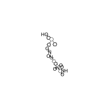 O=C1CCC(N2C(=O)c3cc4c(cc3C2=O)CC2(C4)CN(C(=O)CN3CC(Oc4ccc(C5c6ccc(O)cc6CCC5c5ccccc5)cc4)C3)C2)C(=O)N1